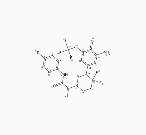 CC(C(=O)Nc1ccc(F)cn1)N1CCC(F)(F)C(c2cc(N)c(=O)n(CC(F)(F)F)c2)C1